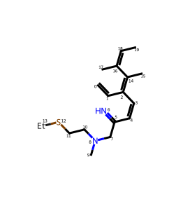 C=CC(/C=C\C(=N)CN(C)CCSCC)=C(C)\C(C)=C/C